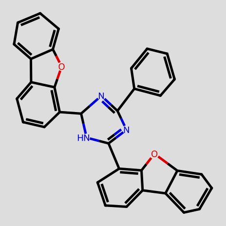 c1ccc(C2=NC(c3cccc4c3oc3ccccc34)NC(c3cccc4c3oc3ccccc34)=N2)cc1